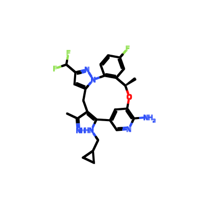 CC(=N)/C1=C(\NCC2CC2)c2cnc(N)c(c2)O[C@H](C)c2cc(F)ccc2-n2nc(C(F)F)cc2C1